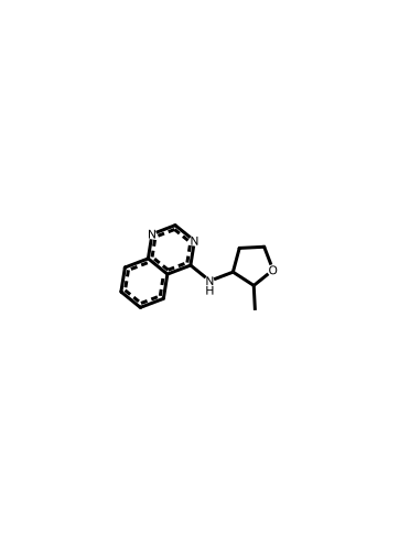 CC1OCCC1Nc1ncnc2ccccc12